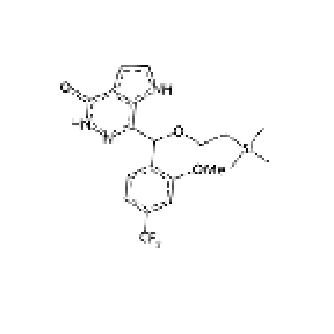 COc1cc(C(F)(F)F)ccc1C(OCC[Si](C)(C)C)c1n[nH]c(=O)c2cc[nH]c12